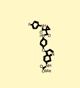 COC(=O)Nc1ccc2c(Oc3ccc(NC(=O)C4(C(=O)Nc5ccc(F)cc5)CC4)cc3)ccnc2c1